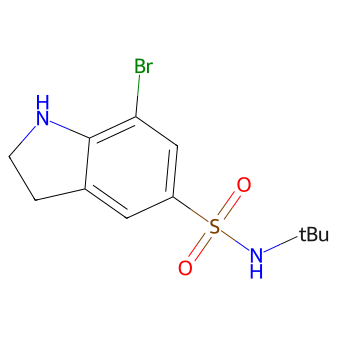 CC(C)(C)NS(=O)(=O)c1cc(Br)c2c(c1)CCN2